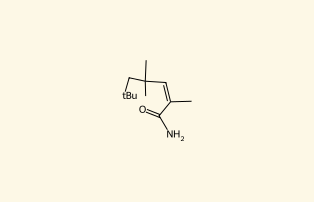 CC(=CC(C)(C)CC(C)(C)C)C(N)=O